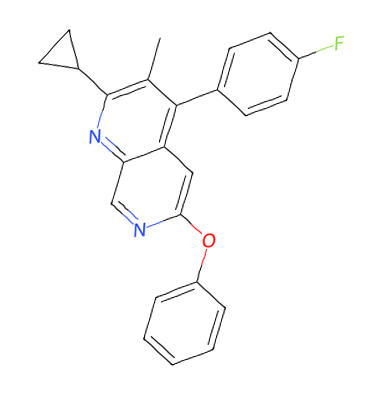 Cc1c(C2CC2)nc2cnc(Oc3ccccc3)cc2c1-c1ccc(F)cc1